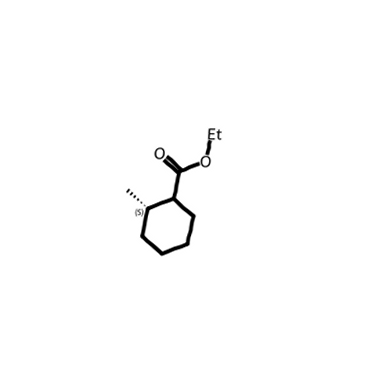 CCOC(=O)C1CCCC[C@@H]1C